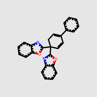 C1=CC(c2nc3ccccc3o2)(c2nc3ccccc3o2)CC=C1c1ccccc1